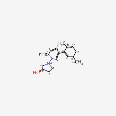 CCCCCC/C=C\C(=C/CN1CCC(O)C1)C1=CC(C)CC=C1C